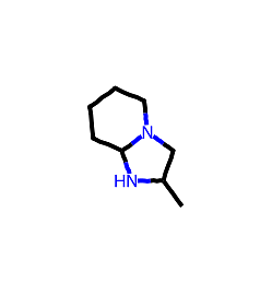 CC1CN2CCCCC2N1